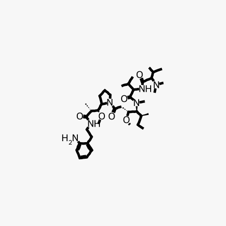 CC[C@H](C)[C@@H]([C@@H](CC(=O)N1CCCC1[C@H](OC)[C@@H](C)C(=O)NCCc1ccccc1N)OC)N(C)C(=O)C(NC(=O)C(C(C)C)N(C)C)C(C)C